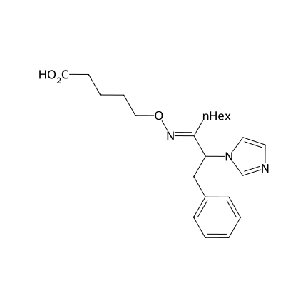 CCCCCCC(=NOCCCCC(=O)O)C(Cc1ccccc1)n1ccnc1